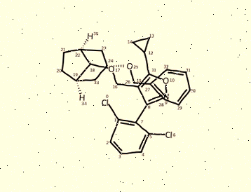 Clc1cccc(Cl)c1-c1noc(C2CC2)c1COC1[C@@H]2CC[C@H]1C[C@H](OCc1ccccc1)C2